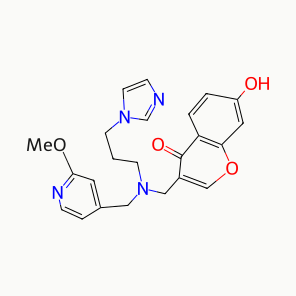 COc1cc(CN(CCCn2ccnc2)Cc2coc3cc(O)ccc3c2=O)ccn1